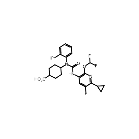 CC(C)c1ccccc1N(C(=O)Nc1cc(F)c(C2CC2)nc1OC(F)F)C1CCC(C(=O)O)CC1